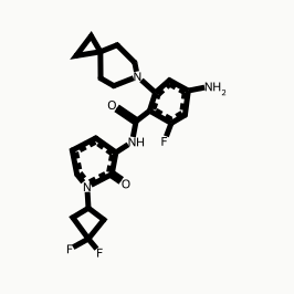 Nc1cc(F)c(C(=O)Nc2cccn(C3CC(F)(F)C3)c2=O)c(N2CCC3(CC2)CC3)c1